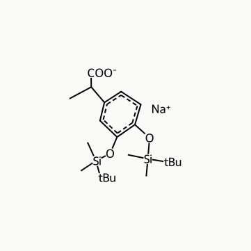 CC(C(=O)[O-])c1ccc(O[Si](C)(C)C(C)(C)C)c(O[Si](C)(C)C(C)(C)C)c1.[Na+]